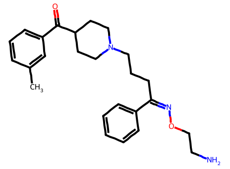 Cc1cccc(C(=O)C2CCN(CCC/C(=N/OCCN)c3ccccc3)CC2)c1